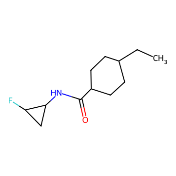 CCC1CCC(C(=O)NC2CC2F)CC1